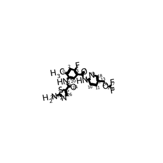 Cc1cc(F)c(C(=O)Nc2ccc(COC(F)F)cn2)cc1NC(=O)c1cnc(N)s1